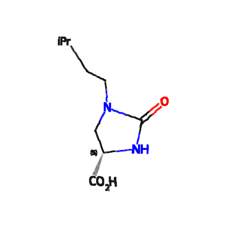 CC(C)CCN1C[C@@H](C(=O)O)NC1=O